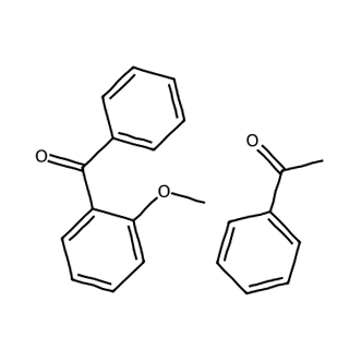 CC(=O)c1ccccc1.COc1ccccc1C(=O)c1ccccc1